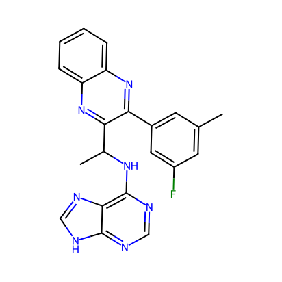 Cc1cc(F)cc(-c2nc3ccccc3nc2C(C)Nc2ncnc3[nH]cnc23)c1